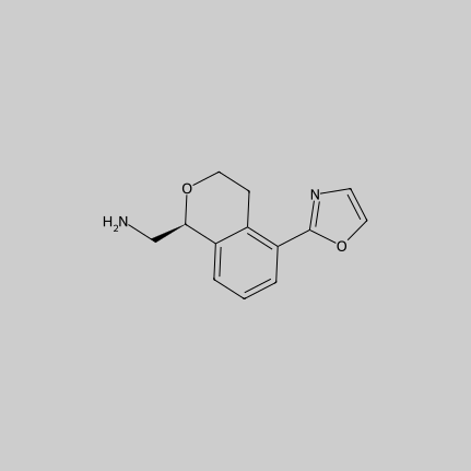 NC[C@H]1OCCc2c(-c3ncco3)cccc21